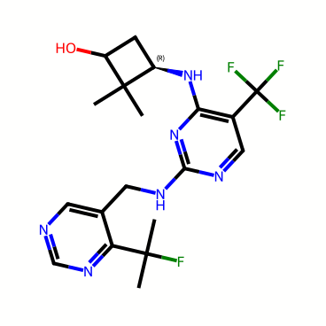 CC(C)(F)c1ncncc1CNc1ncc(C(F)(F)F)c(N[C@@H]2CC(O)C2(C)C)n1